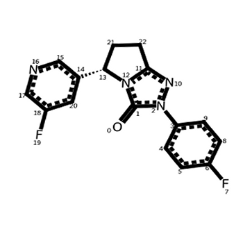 O=c1n(-c2ccc(F)cc2)nc2n1[C@H](c1cncc(F)c1)CC2